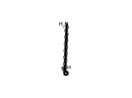 NCCOCCOCCOCCOCCOCCOCCOCCOCCOCCOCCOCCOCCNC(=O)COC1C#CCCCCC1